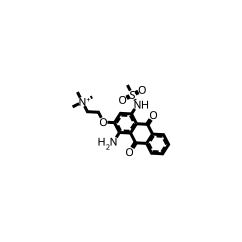 C[N+](C)(C)CCOc1cc(NS(C)(=O)=O)c2c(c1N)C(=O)c1ccccc1C2=O